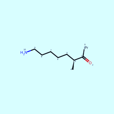 CC(C)C(=O)[C@@H](C)CCCCCN